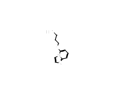 NCCCSc1cccc2nccn12